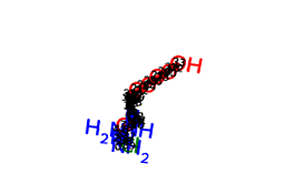 Nc1nc(N)c(C(=O)NC2CCCN(CCCc3ccc(OCCOCCOCCOCCO)cc3)C2)nc1Cl